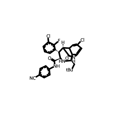 CC(C)(C)C[C@H]1N[C@@H](C(=O)Nc2ccc(C#N)cc2)[C@H](c2cccc(Cl)c2F)[C@@H]2C(=O)NC3=CC(Cl)=CC2C31